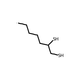 [CH2]CCCCC(S)CS